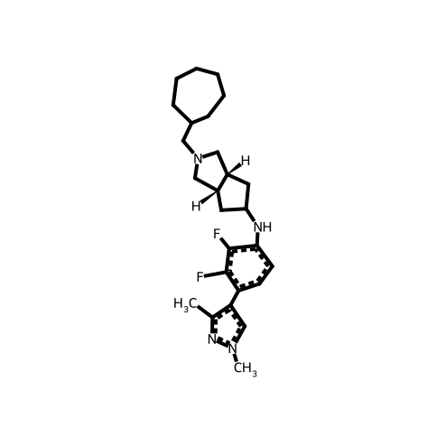 Cc1nn(C)cc1-c1ccc(NC2C[C@@H]3CN(CC4CCCCCC4)C[C@@H]3C2)c(F)c1F